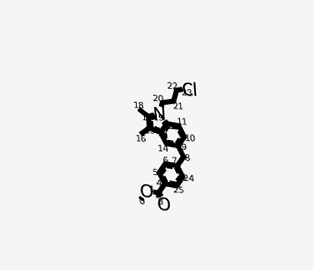 COC(=O)c1ccc(Cc2ccc3c(c2)c(C)c(C)n3CCCCl)cc1